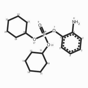 Nc1ccccc1OP(=O)(OC1CCCCC1)OC1CCCCC1